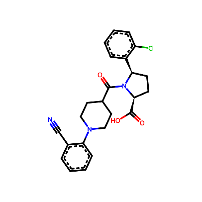 N#Cc1ccccc1N1CCC(C(=O)N2[C@@H](c3ccccc3Cl)CC[C@H]2C(=O)O)CC1